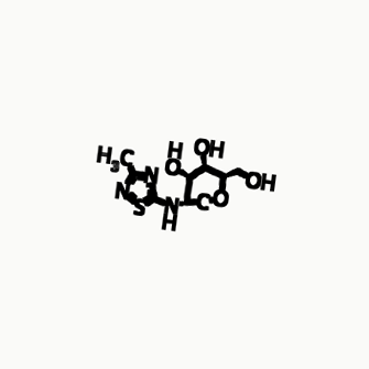 Cc1nsc(N[C@H]2CO[C@H](CO)[C@H](O)[C@@H]2O)n1